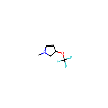 CN1[C]C(OC(F)(F)F)C=C1